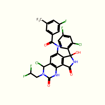 O=C(Nc1cc2c(c3c1C(O)(c1ccc(F)cc1Cl)NC3=O)NC(=O)N(CC(F)F)C2Cl)c1cc(F)cc(C(F)(F)F)c1